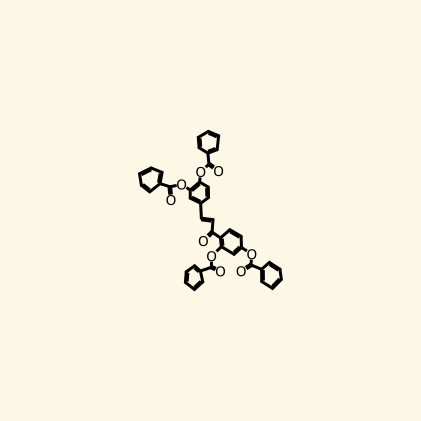 O=C(Oc1ccc(C(=O)/C=C/c2ccc(OC(=O)c3ccccc3)c(OC(=O)c3ccccc3)c2)c(OC(=O)c2ccccc2)c1)c1ccccc1